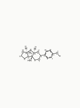 COc1ccc(C2OC[C@@H]3[C@H]4CCO[C@H]4C[C@H]3O2)cc1